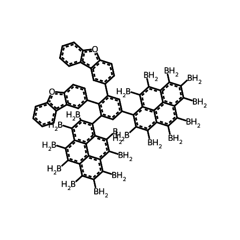 Bc1c(B)c2c(B)c(B)c3c(B)c(B)c(-c4cc(-c5ccc6oc7ccccc7c6c5)c(-c5ccc6oc7ccccc7c6c5)c(-c5c(B)c(B)c6c(B)c(B)c7c(B)c(B)c(B)c8c(B)c(B)c5c6c78)c4)c4c(B)c(B)c(c1B)c2c34